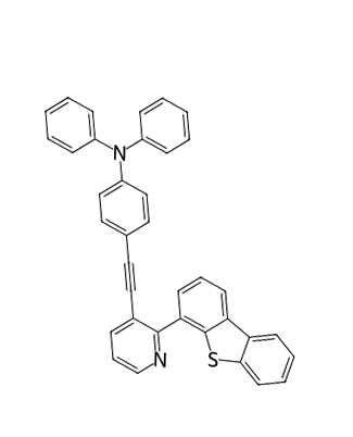 C(#Cc1cccnc1-c1cccc2c1sc1ccccc12)c1ccc(N(c2ccccc2)c2ccccc2)cc1